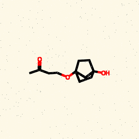 CC(=O)CCOC12CCC(O)(CC1)C2